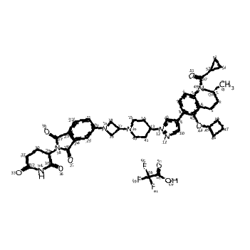 C[C@H]1CCc2c(ccc(-c3cnn(C4CCN(C5CN(c6ccc7c(c6)C(=O)N(C6CCC(=O)NC6=O)C7=O)C5)CC4)c3)c2OC2CCC2)N1C(=O)C1CC1.O=C(O)C(F)(F)F